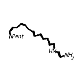 CCCCC/C=C\C/C=C\CCCCCCCCN/C=C/N